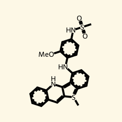 COc1cc(NS(C)(=O)=O)ccc1Nc1cccc2c1=C1Nc3ccccc3C=C1S=2C